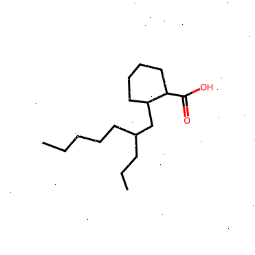 CCCCCC(CCC)CC1CCCCC1C(=O)O